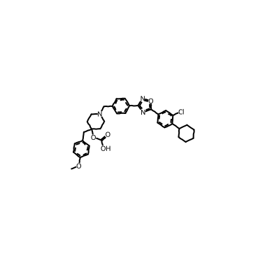 COc1ccc(CC2(OC(=O)O)CCN(Cc3ccc(-c4noc(-c5ccc(C6CCCCC6)c(Cl)c5)n4)cc3)CC2)cc1